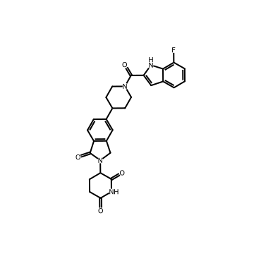 O=C1CCC(N2Cc3cc(C4CCN(C(=O)c5cc6cccc(F)c6[nH]5)CC4)ccc3C2=O)C(=O)N1